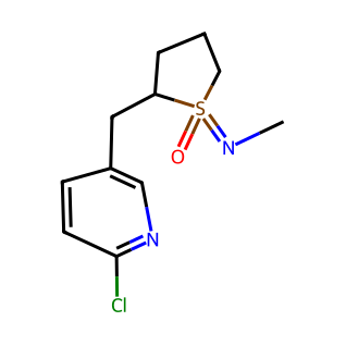 CN=S1(=O)CCCC1Cc1ccc(Cl)nc1